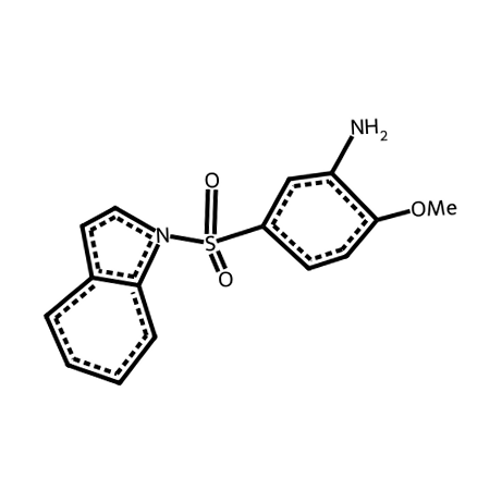 COc1ccc(S(=O)(=O)n2ccc3ccccc32)cc1N